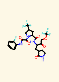 O=C(Nc1ccccc1F)C(=O)N1CC(C(F)(F)F)CC1C(=O)NC(CC1CCNC1=O)C(=O)COC(F)(F)F